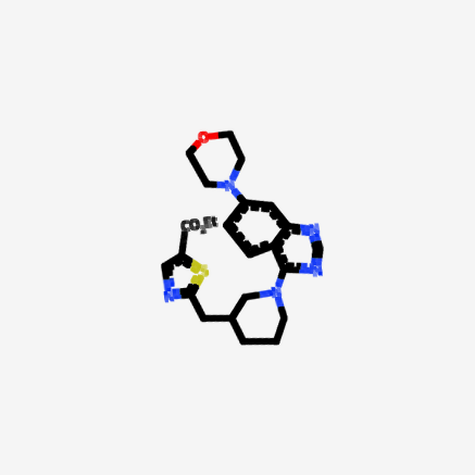 CCOC(=O)c1cnc(CC2CCCN(c3ncnc4cc(N5CCOCC5)ccc34)C2)s1